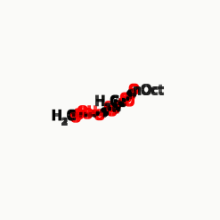 C=CC(=O)OCC(O)COCCCCOc1ccc(C(=O)Oc2ccc3c(c2)C(C)c2cc(OC(=O)c4ccc(OCCCCCCCC)cc4)ccc2-3)cc1